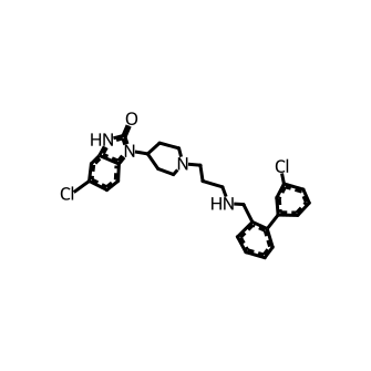 O=c1[nH]c2cc(Cl)ccc2n1C1CCN(CCCNCc2ccccc2-c2cccc(Cl)c2)CC1